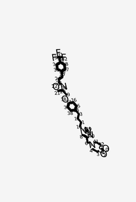 O=S1(=O)CCN(Cc2cn(CCCCc3ccc(OCc4coc(C=Cc5ccc(C(F)(F)F)cc5)n4)cc3)nn2)CC1